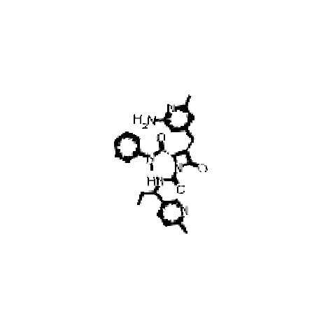 CCC(NC(=O)N1C(=O)[C@H](Cc2cc(C)nc(N)c2)[C@H]1C(=O)N(C)c1ccccc1)c1ccc(C)nc1